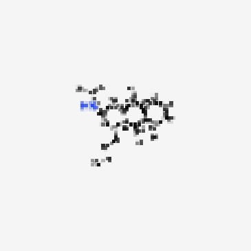 C=C(C)Nc1cc(CCCC)c2c(=C)c3c(C)cccc3c(=C)c2c1